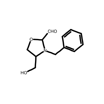 O=CC1OCC(CO)N1Cc1ccccc1